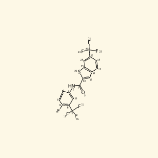 O=C(Nc1ccc(F)c(C(F)(F)F)c1)c1cc2ccc(C(F)(F)F)cc2s1